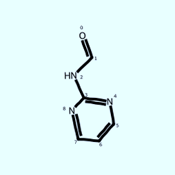 O=CNc1ncccn1